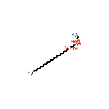 CCCCC/C=C/C/C=C/C/C=C/C/C=C/C/C=C/CCC(=O)OC[C@@H](O)COP(=O)(O)OCCN